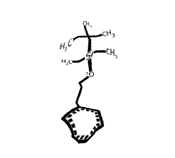 CC(C)(C)[Si](C)(C)[3O]Cc1ccccc1